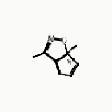 CC1=NO[C@]2(C)C=CCC12